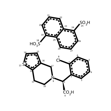 O=C(O)[C@H](c1ccccc1Cl)N1CCc2sccc2C1.O=S(=O)(O)c1cccc2c(S(=O)(=O)O)cccc12